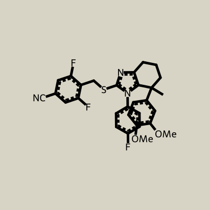 COc1ccc(C2(C)CCCc3nc(SCc4c(F)cc(C#N)cc4F)n(-c4ccc(F)cc4)c32)cc1OC